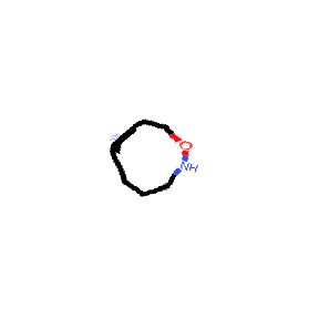 C1=C\CONCCC/1